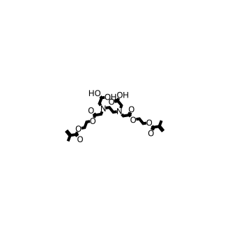 C=C(C)C(=O)OCCOC(=O)CN(CCN(CC(=O)OCCOC(=O)C(=C)C)CC(O)O)CC(=O)O